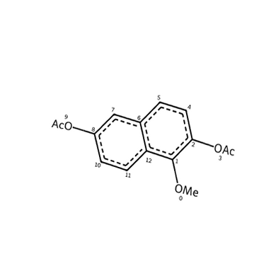 COc1c(OC(C)=O)ccc2cc(OC(C)=O)ccc12